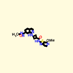 COc1nccc2nc(NC(=O)C3CC(Nc4nccc5ccc(-c6noc(C)n6)cc45)C3)sc12